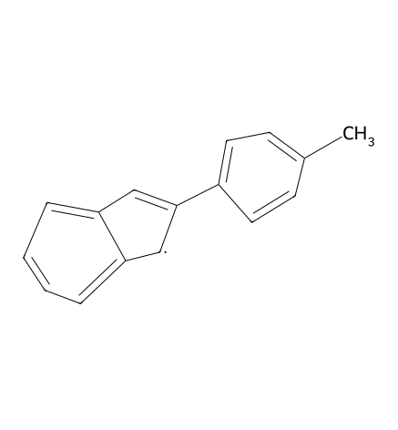 Cc1ccc(C2=Cc3ccccc3[CH]2)cc1